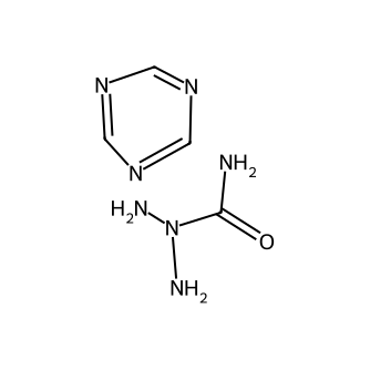 NC(=O)N(N)N.c1ncncn1